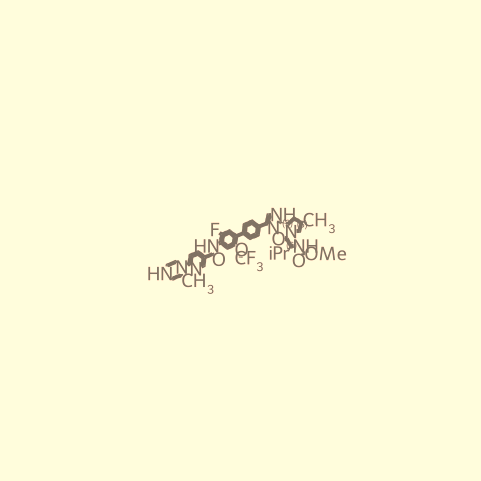 COC(=O)N[C@H](C(=O)N1C[C@@H](C)C[C@H]1c1nc(-c2ccc(-c3cc(F)c(NC(=O)c4ccc(N5CCNCC5C)nc4)cc3OC(F)(F)F)cc2)c[nH]1)C(C)C